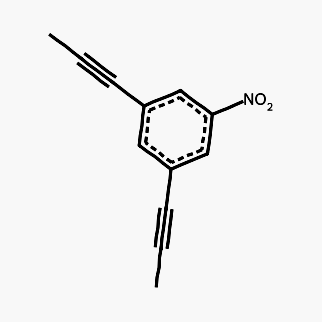 CC#Cc1cc(C#CC)cc([N+](=O)[O-])c1